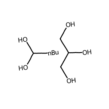 CCCCC(O)O.OCC(O)CO